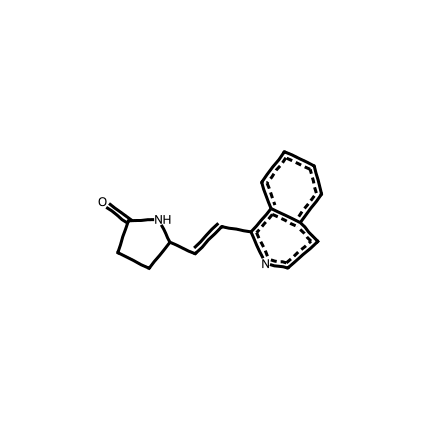 O=C1CCC(/C=C/c2nccc3ccccc23)N1